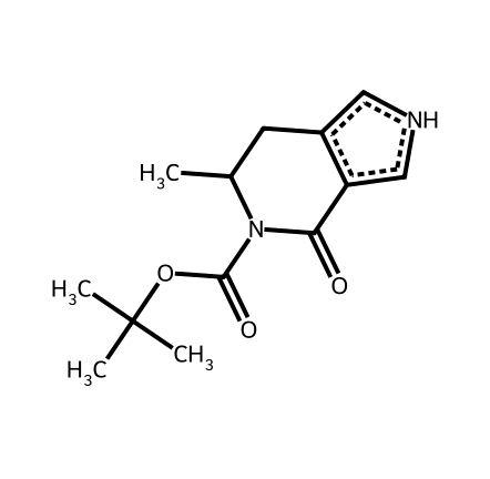 CC1Cc2c[nH]cc2C(=O)N1C(=O)OC(C)(C)C